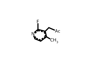 CC(=O)Cc1c(C)ccnc1F